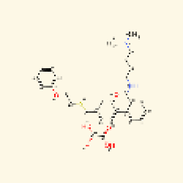 CN(C)CCCCNC(=O)c1ccccc1-c1ccc(CSCCOc2ccccc2)cc1.O=C(O)C(=O)O